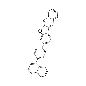 c1ccc2cc3c(cc2c1)oc1cc(-c2ccc(-c4cccc5ccccc45)cc2)ccc13